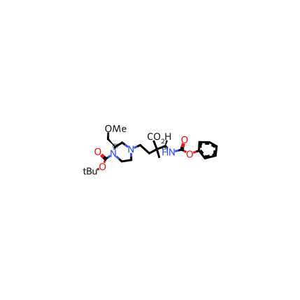 COC[C@H]1CN(CCC(C)(C)[C@H](NC(=O)Oc2ccccc2)C(=O)O)CCN1C(=O)OC(C)(C)C